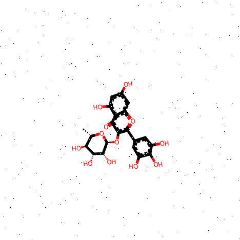 C[C@@H]1O[C@@H](Oc2c(-c3cc(O)c(O)c(O)c3)oc3cc(O)cc(O)c3c2=O)[C@H](O)[C@H](O)[C@H]1O